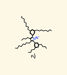 CCCCCCCCC1=C(c2cc(CCCC)cc(CCCC)c2)[N+](=[N-])C(c2cc(CCCCCCCC)cc(CCCCCCCC)c2)=C1CCCC.[CH3][Pd][CH3]